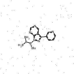 BB(B)B(n1nc(-c2cccnc2)c2cncnc21)C(C)(C)C